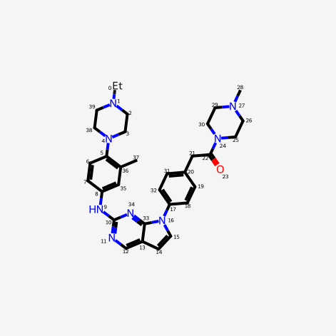 CCN1CCN(c2ccc(Nc3ncc4ccn(-c5ccc(CC(=O)N6CCN(C)CC6)cc5)c4n3)cc2C)CC1